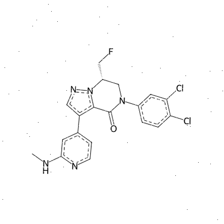 CNc1cc(-c2cnn3c2C(=O)N(c2ccc(Cl)c(Cl)c2)C[C@H]3CF)ccn1